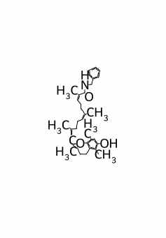 CC(=CCCC(C)=CCCC1(C)CCc2c(C)c(O)cc(C)c2O1)CCC=C(C)C(=O)NCc1ccccc1